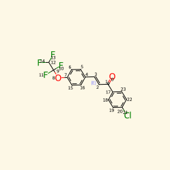 O=C(/C=C/c1ccc(OC(F)(F)C(F)F)cc1)c1ccc(Cl)cc1